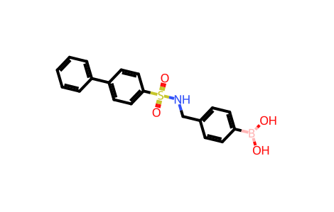 O=S(=O)(NCc1ccc(B(O)O)cc1)c1ccc(-c2ccccc2)cc1